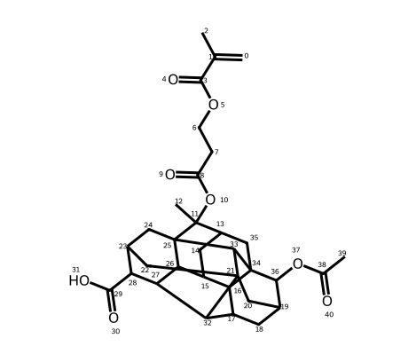 C=C(C)C(=O)OCCC(=O)OC1(C)C2CC3C4C5CC6CC78CC9CC1(C3C(C9C(=O)O)C57)C8C4(C2)C6OC(C)=O